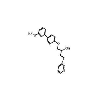 COc1cccc(-c2ccc(OCC(O)CCc3cccnc3)cc2)c1